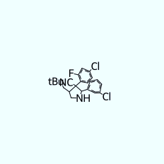 CC(C)(C)CC1CNC(c2cccc(Cl)c2)C1(C#N)c1ccc(Cl)cc1F